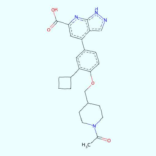 CC(=O)N1CCC(COc2ccc(-c3cc(C(=O)O)nc4[nH]ncc34)cc2C2CCC2)CC1